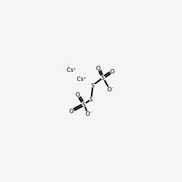 O=S(=O)([O-])SSS(=O)(=O)[O-].[Cs+].[Cs+]